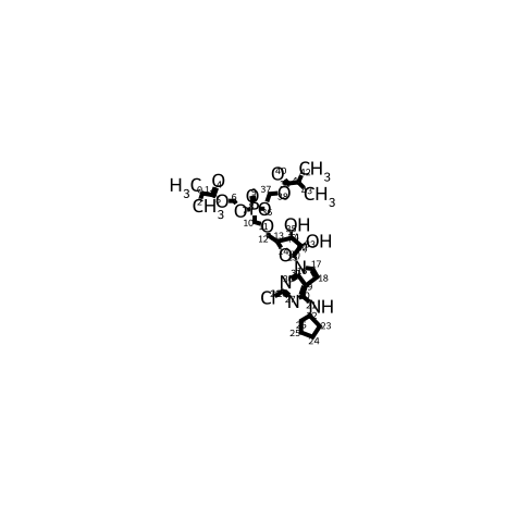 CC(C)C(=O)OCOP(=O)(COCC1O[C@@H](n2ccc3c(NC4CCCC4)nc(Cl)nc32)[C@H](O)[C@@H]1O)OCOC(=O)C(C)C